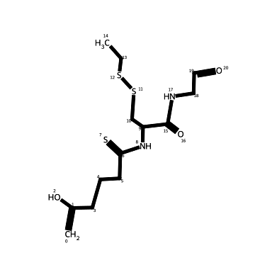 C=C(O)CCCC(=S)NC(CSSCC)C(=O)NCC=O